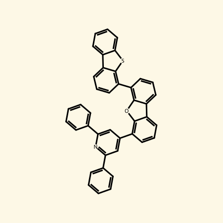 c1ccc(-c2cc(-c3cccc4c3oc3c(-c5cccc6c5sc5ccccc56)cccc34)cc(-c3ccccc3)n2)cc1